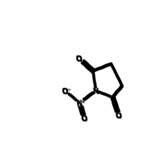 O=C1CCC(=O)N1[N+](=O)[O-]